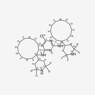 CC1(C)CC(C2(Nc3nc(Cl)nc(NC4(C5CC(C)(C)NC(C)(C)C5)CCCCCCCCCCC4)n3)CCCCCCCCCCC2)CC(C)(C)N1